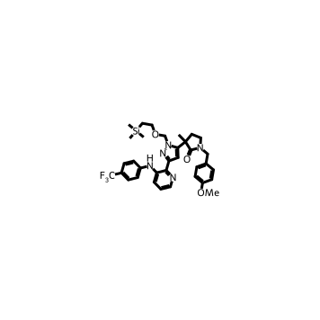 COc1ccc(CN2CCC(C)(c3cc(-c4ncccc4Nc4ccc(C(F)(F)F)cc4)nn3COCC[Si](C)(C)C)C2=O)cc1